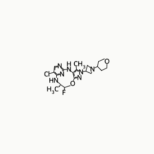 Cc1c2c(nn1C1CN(C3CCOCC3)C1)OC[C@@H](F)[C@@H](C)Nc1nc(ncc1Cl)N2